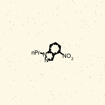 CCCn1ncc2c([N+](=O)[O-])cccc21